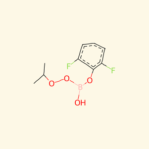 CC(C)OOB(O)Oc1c(F)cccc1F